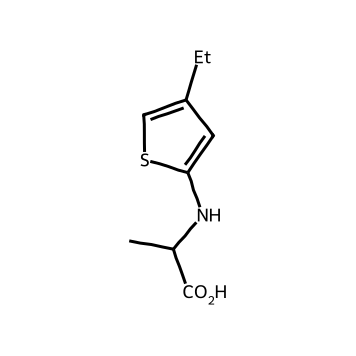 CCc1csc(NC(C)C(=O)O)c1